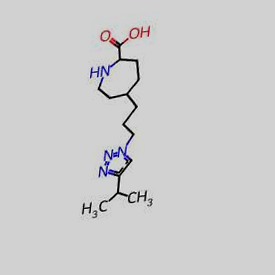 CC(C)c1cn(CCCC2CCNC(C(=O)O)CC2)nn1